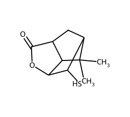 CC1(C)C2CC3C(=O)OC(C2S)C31